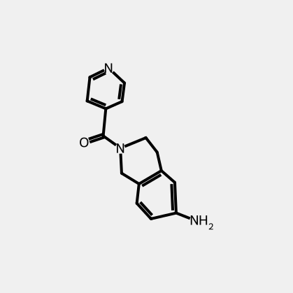 Nc1ccc2c(c1)CCN(C(=O)c1ccncc1)C2